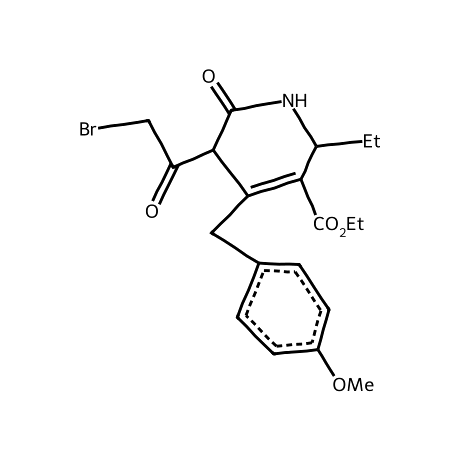 CCOC(=O)C1=C(Cc2ccc(OC)cc2)C(C(=O)CBr)C(=O)NC1CC